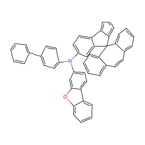 C1=Cc2ccccc2C2(c3ccccc31)c1ccccc1-c1ccc(N(c3ccc(-c4ccccc4)cc3)c3ccc4c(c3)oc3ccccc34)cc12